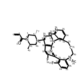 C=CC(=O)N1C[C@H](C)N(c2nc(=O)n3c4nc(c(F)cc24)-c2c(F)cccc2N(C(C)=O)CCCc2ccnc(C(C)C)c2-3)C[C@H]1C